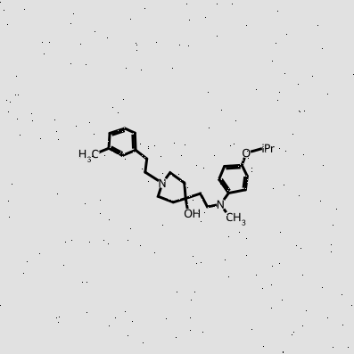 Cc1cccc(CCN2CCC(O)(CCN(C)c3ccc(OC(C)C)cc3)CC2)c1